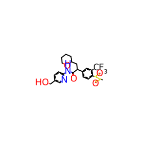 CS(=O)(=O)c1ccc(C(CC2CCCCO2)C(=O)Nc2ccc(CO)cn2)cc1C(F)(F)F